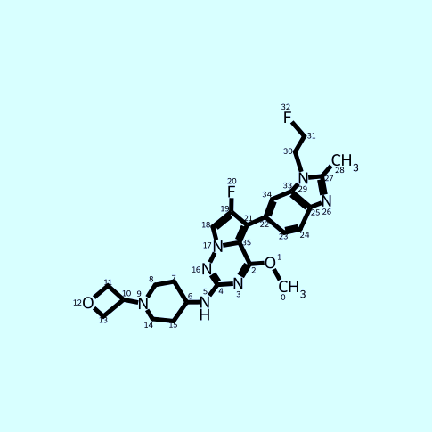 COc1nc(NC2CCN(C3COC3)CC2)nn2cc(F)c(-c3ccc4nc(C)n(CCF)c4c3)c12